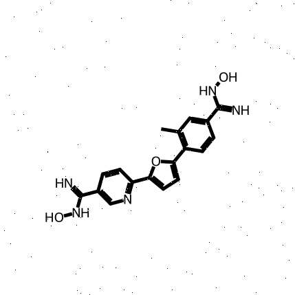 Cc1cc(C(=N)NO)ccc1-c1ccc(-c2ccc(C(=N)NO)cn2)o1